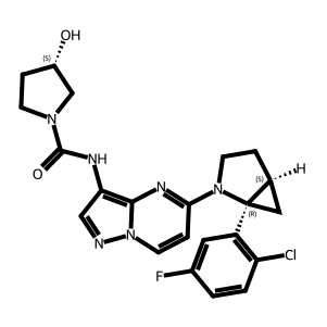 O=C(Nc1cnn2ccc(N3CC[C@H]4C[C@]43c3cc(F)ccc3Cl)nc12)N1CC[C@H](O)C1